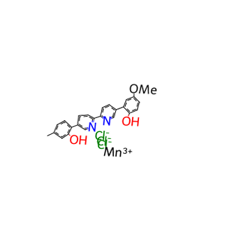 COc1ccc(O)c(-c2ccc(-c3ccc(-c4ccc(C)cc4O)cn3)nc2)c1.[Cl-].[Cl-].[Cl-].[Mn+3]